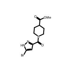 COC(=O)C1CCN(C(=O)c2cc(Br)[nH]n2)CC1